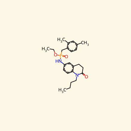 CCCCN1C(=O)CCc2cc(NP(=O)(Cc3ccc(C)cc3C)OCC)ccc21